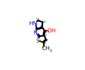 Cc1cc2c(O)c3c(nc2s1)NCC3